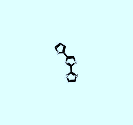 c1csc(-c2csc(-c3nccs3)n2)c1